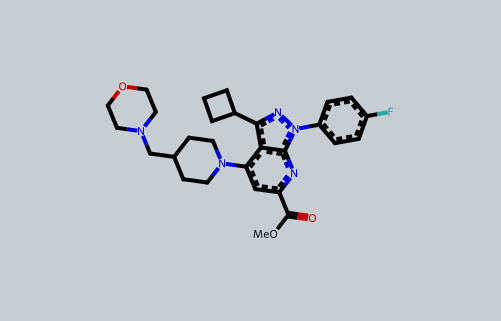 COC(=O)c1cc(N2CCC(CN3CCOCC3)CC2)c2c(C3CCC3)nn(-c3ccc(F)cc3)c2n1